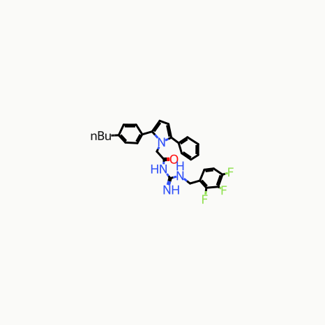 CCCCc1ccc(-c2ccc(-c3ccccc3)n2CC(=O)NC(=N)NCc2ccc(F)c(F)c2F)cc1